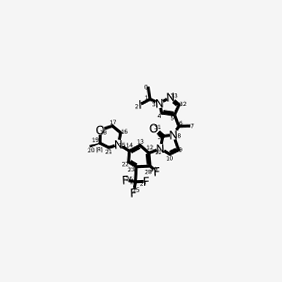 CC(I)n1cc(C(C)n2ccn(-c3cc(N4CCO[C@H](C)C4)cc(C(F)(F)F)c3F)c2=O)cn1